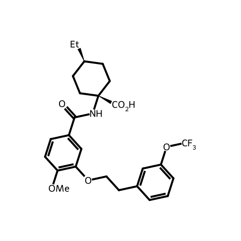 CC[C@H]1CC[C@@](NC(=O)c2ccc(OC)c(OCCc3cccc(OC(F)(F)F)c3)c2)(C(=O)O)CC1